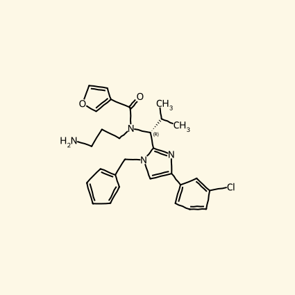 CC(C)[C@H](c1nc(-c2cccc(Cl)c2)cn1Cc1ccccc1)N(CCCN)C(=O)c1ccoc1